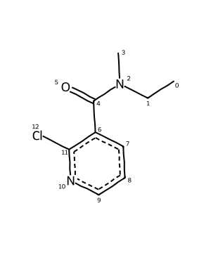 CCN(C)C(=O)c1cccnc1Cl